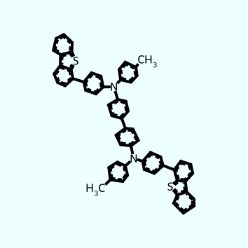 Cc1ccc(N(c2ccc(-c3ccc(N(c4ccc(C)cc4)c4ccc(-c5cccc6c5sc5ccccc56)cc4)cc3)cc2)c2ccc(-c3cccc4c3sc3ccccc34)cc2)cc1